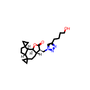 O=C1O[C@H]2[C@@H](CCC3(CC3)[C@@H]3CCC4(CC4)[C@H]23)[C@@H]1Cn1cc(CCCCO)nn1